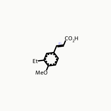 CCc1cc(/C=C/C(=O)O)ccc1OC